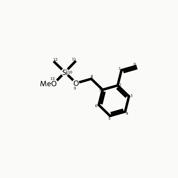 C=Cc1ccccc1CO[Si](C)(C)OC